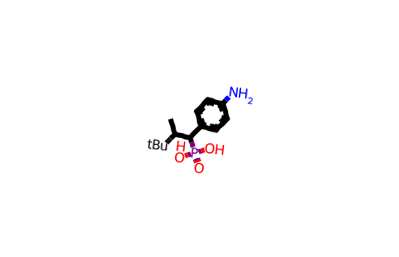 CC(C(c1ccc(N)cc1)P(=O)(O)O)C(C)(C)C